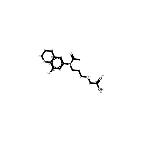 CC(=O)N(CCCOCC(=O)O)c1cc(F)c2c(c1)CCCS2